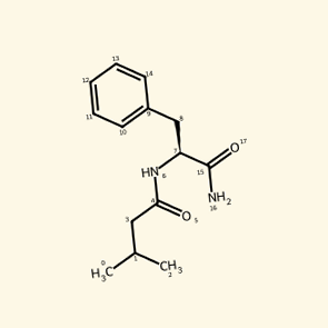 CC(C)CC(=O)N[C@@H](Cc1ccccc1)C(N)=O